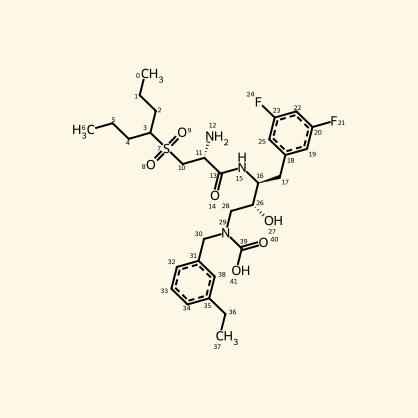 CCCC(CCC)S(=O)(=O)C[C@H](N)C(=O)N[C@@H](Cc1cc(F)cc(F)c1)[C@H](O)CN(Cc1cccc(CC)c1)C(=O)O